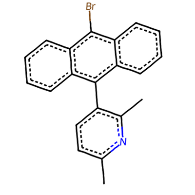 Cc1ccc(-c2c3ccccc3c(Br)c3ccccc23)c(C)n1